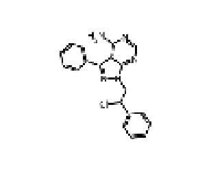 Nc1ncnc2c1c(-c1ccccc1)nn2CC(Cl)c1ccccc1